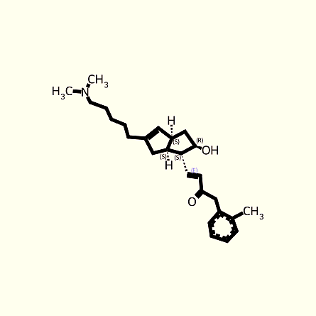 Cc1ccccc1CC(=O)/C=C/[C@@H]1[C@H]2CC(CCCCCN(C)C)=C[C@H]2C[C@H]1O